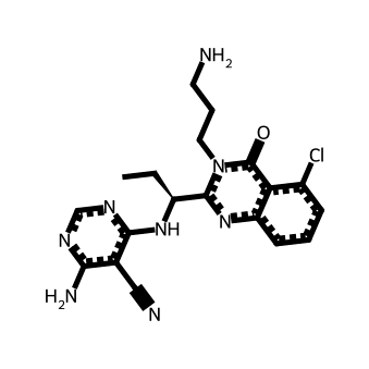 CC[C@H](Nc1ncnc(N)c1C#N)c1nc2cccc(Cl)c2c(=O)n1CCCN